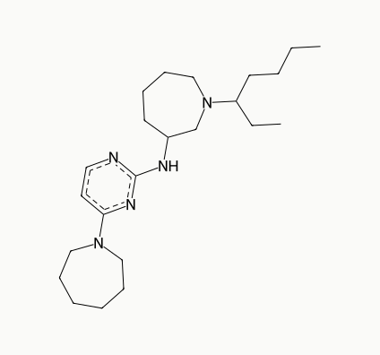 CCCCC(CC)N1CCCCC(Nc2nccc(N3CCCCCC3)n2)C1